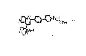 NNC(=O)c1cc(-c2ccc(-c3ccc(NCCO)cc3)cc2)nc2ccncc12